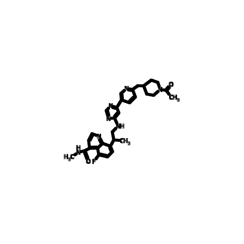 CNC(=O)c1ccnc2c(C(C)CNc3cc(-c4ccc(CC5CCN(C(C)=O)CC5)nc4)ncn3)ccc(F)c12